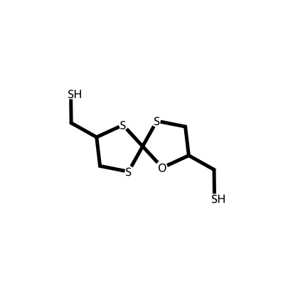 SCC1CSC2(O1)SCC(CS)S2